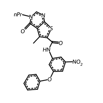 CCCn1cnc2sc(C(=O)Nc3cc(Oc4ccccc4)cc([N+](=O)[O-])c3)c(C)c2c1=O